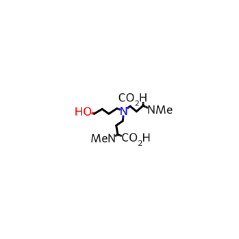 CNC(CCN(CCCCO)CCC(NC)C(=O)O)C(=O)O